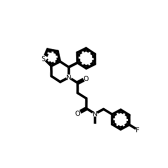 CN(Cc1ccc(F)cc1)C(=O)CCC(=O)N1CCc2sccc2C1c1ccccc1